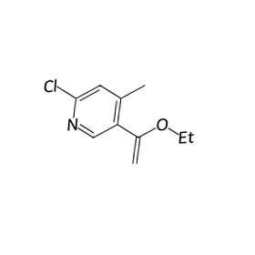 C=C(OCC)c1cnc(Cl)cc1C